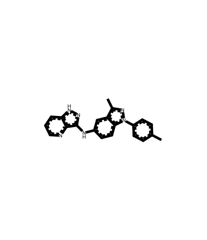 Cc1ccc(-n2nc(C)c3cc(Nc4n[nH]c5cccnc45)ccc32)cc1